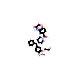 COc1ccc([C@H](c2ccccc2)C2CCN(C(=O)c3ccc4c(c3)NC(=O)CO4)CC2)cc1OCCF